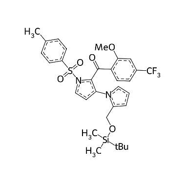 COc1cc(C(F)(F)F)ccc1C(=O)c1c(-n2cccc2CO[Si](C)(C)C(C)(C)C)ccn1S(=O)(=O)c1ccc(C)cc1